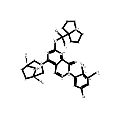 [2H]C([2H])(Oc1nc(N2C[C@H]3CC[C@@H](C2)N3)c2cnn(-c3cc(O)cc(Cl)c3C(F)(F)F)c(=O)c2n1)C12CCCN1CCC2